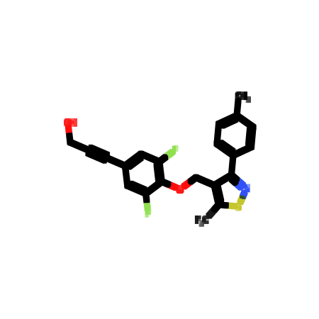 Cc1ccc(-c2nsc(C(F)(F)F)c2COc2c(F)cc(C#CCO)cc2F)cc1